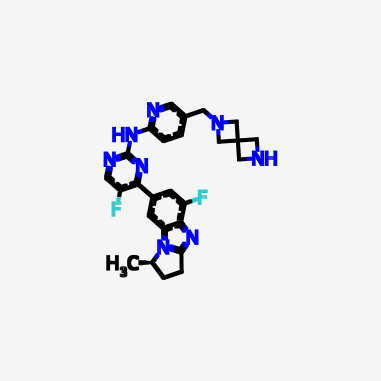 C[C@@H]1CCc2nc3c(F)cc(-c4nc(Nc5ccc(CN6CC7(CNC7)C6)cn5)ncc4F)cc3n21